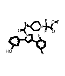 CN(C(=O)N1CC(c2cc(F)ccc2F)=CC1c1cccc(O)c1)C1CCN(C(F)(F)C(=O)OF)CC1